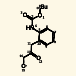 CC(C)(C)OC(=O)Nc1ccccc1CC(=O)C[O]